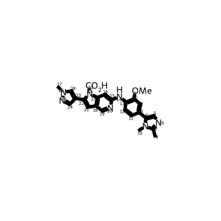 COc1cc(-c2cnc(C)n2C)ccc1Nc1cc2c(cn1)cc(-c1cnn(C)c1)n2C(=O)O